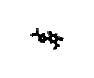 COc1cc(-c2ncc(C(F)F)s2)c(C)cc1Br